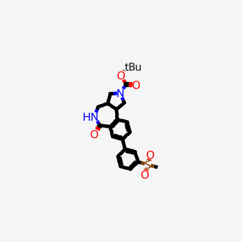 CC(C)(C)OC(=O)N1CC2CNC(=O)c3cc(-c4cccc(S(C)(=O)=O)c4)ccc3C2C1